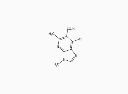 Cc1nc2c(ncn2C)c(Cl)c1C(=O)O